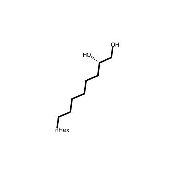 CCCCCCCCCCCC[C@H](O)CO